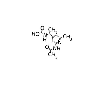 CC(=O)Nc1cc(C(C)NC(=O)O)cc(C)n1